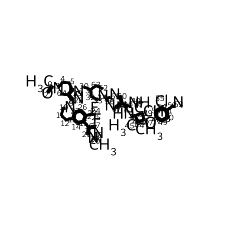 CC(=O)N1CCc2c(c(N3CCCc4cc(-c5cnn(C)c5)c(C(F)F)cc43)nn2CC2CCN(c3ncc(C(=N)NC4C(C)(C)C(Oc5ccc(C#N)c(Cl)c5)C4(C)C)cn3)CC2)C1